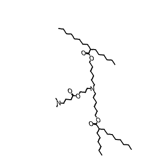 CCCCCCCCC(CCCCCC)C(=O)OCCCCCCN(CCCCCCOC(=O)C(CCCCCC)CCCCCCCC)CCCOC(=O)CCCN(C)C